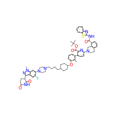 Cc1c(OC2CCC(CCCCN3CCN(c4cc5c(cc4F)c(C4CCC(=O)NC4=O)nn5C)CC3)CC2)cccc1-c1ccc(N2CCc3cccc(C(=O)Nc4nc5ccccc5s4)c3C2)nc1C(=O)OC(C)(C)C